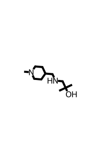 CN1CCC(CNCC(C)(C)O)CC1